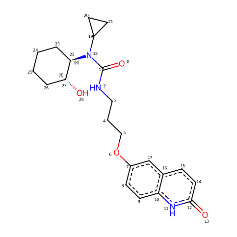 O=C(NCCCOc1ccc2[nH]c(=O)ccc2c1)N(C1CC1)[C@@H]1CCCC[C@H]1O